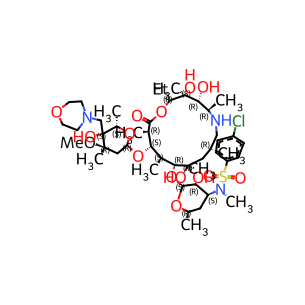 CC[C@H]1OC(=O)[C@H](C)[C@@H](O[C@H]2C[C@@](C)(OC)[C@](O)(CN3CCOCC3)[C@H](C)O2)[C@H](C)[C@@H](O[C@@H]2O[C@H](C)C[C@H](N(C)S(=O)(=O)c3ccc(Cl)cc3)[C@H]2O)[C@](C)(O)C[C@@H](C)CN[C@H](C)[C@@H](O)[C@]1(C)O